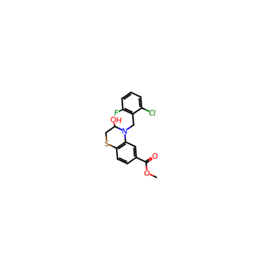 COC(=O)c1ccc2c(c1)N(Cc1c(F)cccc1Cl)C(O)CS2